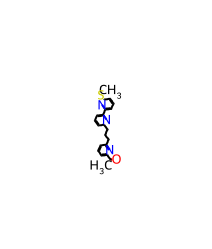 CSc1cccc(-c2cccc(CCCc3cccc(C(C)=O)n3)n2)n1